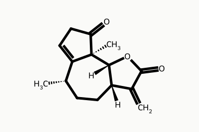 C=C1C(=O)O[C@@H]2[C@H]1CC[C@H](C)C1=CCC(=O)[C@]12C